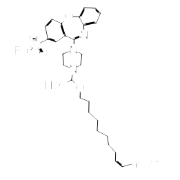 CCCCCCCC/C=C\CCCCCCCCOC(C)N1CCN(C2=Nc3ccccc3Oc3ccc(S(=O)(=O)C(F)(F)F)cc32)CC1